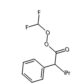 CC(C)C(C(=O)OOC(F)F)c1ccccc1